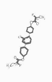 C[C@H](F)C(=O)O[C@H]1CC[C@H](c2ccc([C@H]3CC[C@H](OC(=O)[C@H](C)F)CC3)c(Cl)c2)CC1